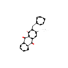 COc1cc2c(c(O)c1Cc1ccccc1)C(=O)c1ccccc1C2=O